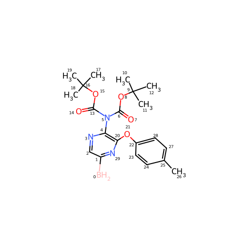 Bc1cnc(N(C(=O)OC(C)(C)C)C(=O)OC(C)(C)C)c(Oc2ccc(C)cc2)n1